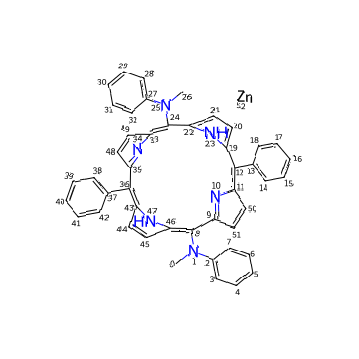 CN(c1ccccc1)c1c2nc(c(-c3ccccc3)c3ccc([nH]3)c(N(C)c3ccccc3)c3nc(c(-c4ccccc4)c4ccc1[nH]4)C=C3)C=C2.[Zn]